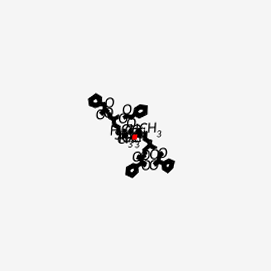 C[Si](C)(CCCC(COC(=O)C(=O)c1ccccc1)COC(=O)C(=O)c1ccccc1)O[Si](C)(C)O[Si](C)(C)CCCC(COC(=O)C(=O)c1ccccc1)COC(=O)C(=O)c1ccccc1